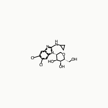 OC[C@H]1OC[C@@H](n2c(NC3CC3)nc3cc(Cl)c(Cl)cc32)[C@H](O)[C@@H]1O